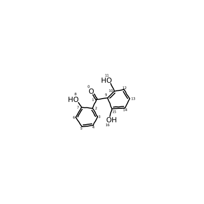 O=C(c1ccccc1O)c1c(O)cccc1O